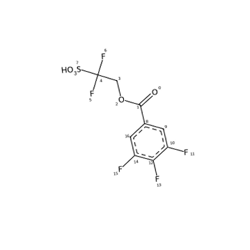 O=C(OCC(F)(F)S(=O)(=O)O)c1cc(F)c(F)c(F)c1